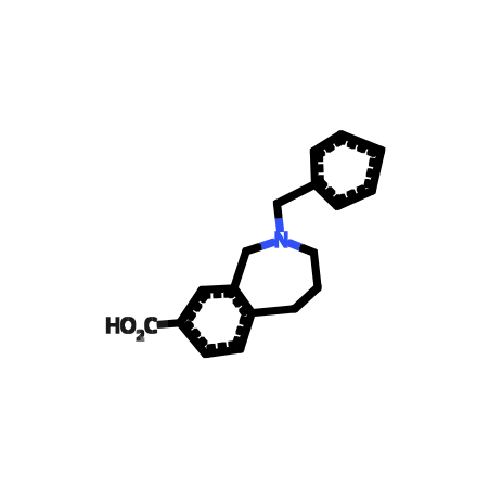 O=C(O)c1ccc2c(c1)CN(Cc1ccccc1)CCC2